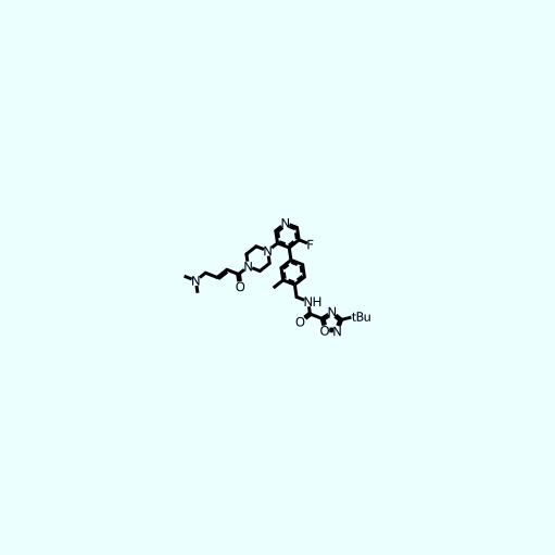 Cc1cc(-c2c(F)cncc2N2CCN(C(=O)C=CCN(C)C)CC2)ccc1CNC(=O)c1nc(C(C)(C)C)no1